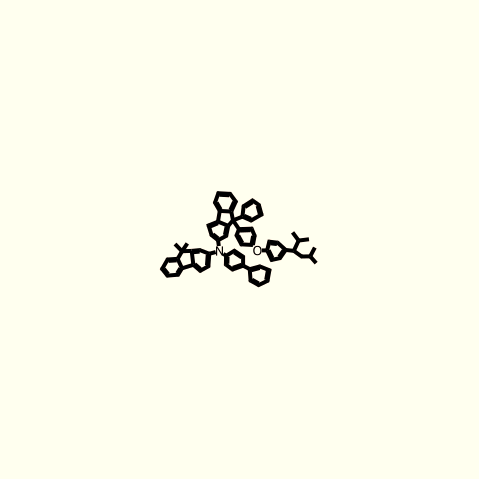 CC(C)CC(c1ccc(Oc2ccc(C3(c4ccccc4)c4ccccc4-c4ccc(N(c5ccc(-c6ccccc6)cc5)c5ccc6c(c5)C(C)(C)c5ccccc5-6)cc43)cc2)cc1)C(C)C